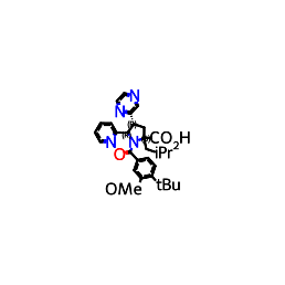 COc1cc(C(=O)N2[C@@H](c3ccccn3)[C@H](c3cnccn3)C[C@@]2(CC(C)C)C(=O)O)ccc1C(C)(C)C